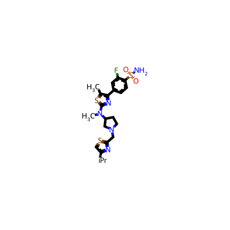 Cc1sc(N(C)C2CCN(Cc3nc(C(C)C)cs3)C2)nc1-c1ccc(S(N)(=O)=O)c(F)c1